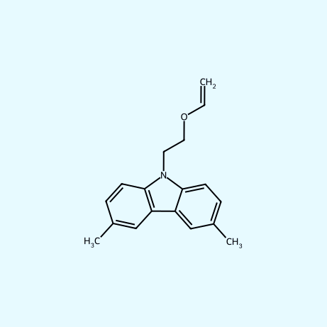 C=COCCn1c2ccc(C)cc2c2cc(C)ccc21